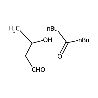 CC(O)CC=O.CCCCC(=O)CCCC